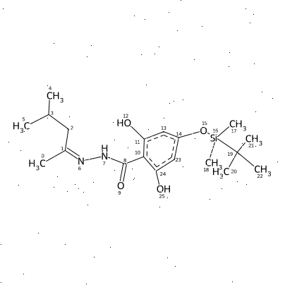 CC(CC(C)C)=NNC(=O)c1c(O)cc(O[Si](C)(C)C(C)(C)C)cc1O